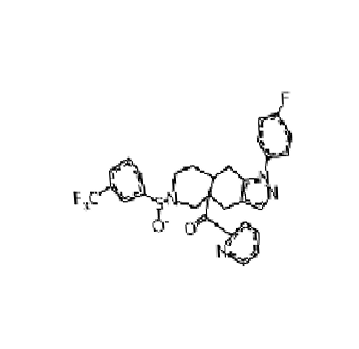 O=C(c1ccccn1)C12Cc3cnn(-c4ccc(F)cc4)c3CC1CCN([S+]([O-])c1cccc(C(F)(F)F)c1)C2